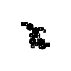 N#Cc1ccc(-c2cc(NC(=O)c3ccc(Cl)c(Oc4ncnc5c4OCCN5)c3)cc(C(F)(F)F)c2)cc1